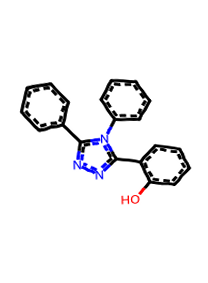 Oc1ccccc1-c1nnc(-c2ccccc2)n1-c1ccccc1